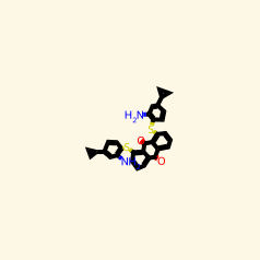 Nc1cc(C2CC2)ccc1Sc1cccc2c1C(=O)c1c(Sc3ccc(C4CC4)cc3N)cccc1C2=O